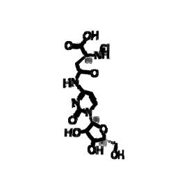 O=C(C[C@H](NCl)C(=O)O)Nc1ccn([C@@H]2O[C@H](CO)C(O)C2O)c(=O)n1